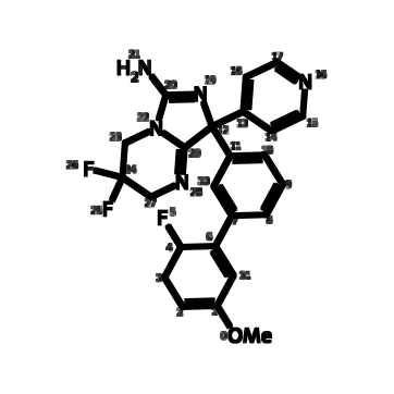 COC1=CCC(F)C(c2cccc(C3(c4ccncc4)N=C(N)N4CC(F)(F)CN=C43)c2)=C1